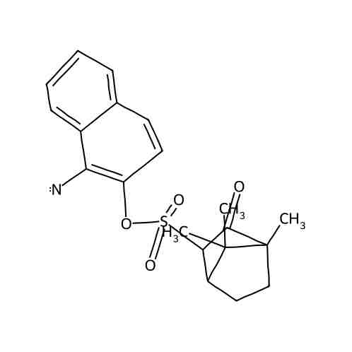 CC12CCC(C(S(=O)(=O)Oc3ccc4ccccc4c3[N])C1=O)C2(C)C